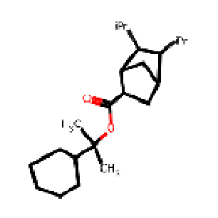 CC(C)C1C2CC(C(=O)OC(C)(C)C3CCCCC3)C(C2)C1C(C)C